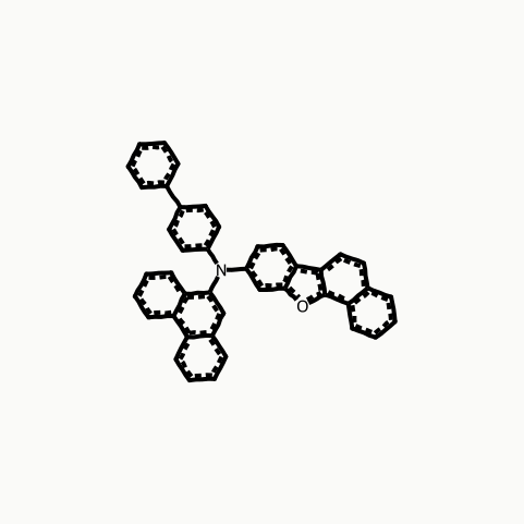 c1ccc(-c2ccc(N(c3ccc4c(c3)oc3c5ccccc5ccc43)c3cc4ccccc4c4ccccc34)cc2)cc1